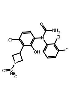 NC(=O)N(c1ccc(Cl)c(C2CN([SH](=O)=O)C2)c1O)c1cccc(F)c1Cl